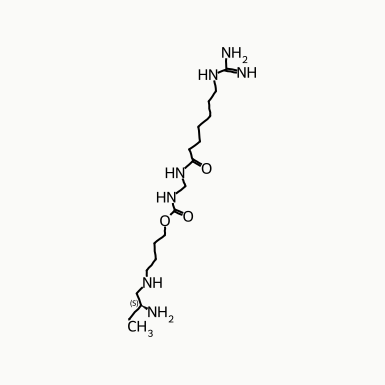 CC[C@H](N)CNCCCCOC(=O)NCNC(=O)CCCCCCNC(=N)N